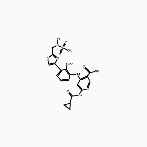 COc1c(Nc2cc(NC(=O)C3CC3)nnc2C(N)=O)cccc1-c1noc(CN(C(C)C)S(C)(=O)=O)n1